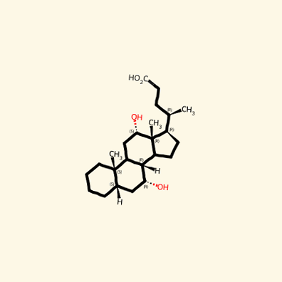 C[C@H](CCC(=O)O)[C@H]1CCC2[C@H]3C(C[C@H](O)[C@@]21C)[C@@]1(C)CCCC[C@H]1C[C@H]3O